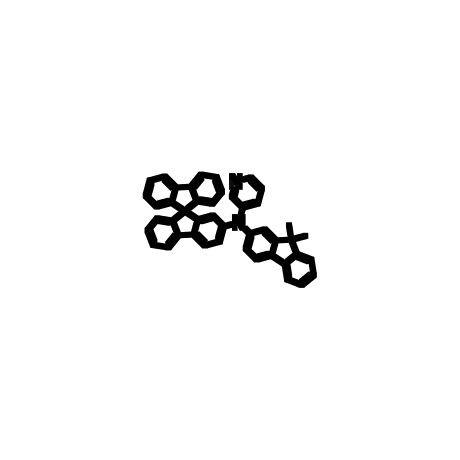 CC1(C)c2ccccc2-c2ccc(N(c3cccnc3)c3ccc4c(c3)C3(c5ccccc5-c5ccccc53)c3ccccc3-4)cc21